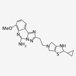 COc1cccc2c1nc(N)n1nc(CCN3CC4=C(C3)SC(C3CC3)N4)nc21